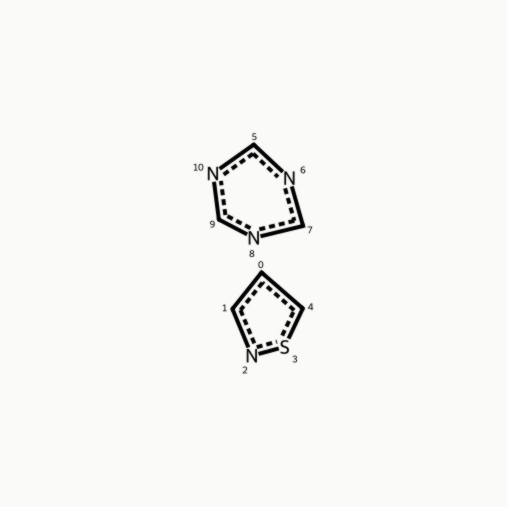 c1cnsc1.c1ncncn1